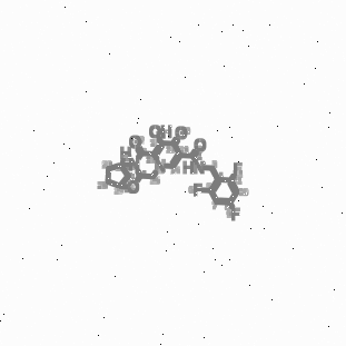 O=C(NCc1c(F)cc(F)cc1F)c1cn2c(c(O)c1=O)C(=O)N1C(C2)OC2CC[C@H]1C2